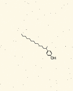 CCCCCCCCCCCCC(C)c1ccc(O)cc1